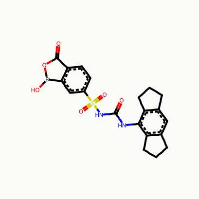 O=C(Nc1c2c(cc3c1CCC3)CCC2)NS(=O)(=O)c1ccc2c(c1)B(O)OC2=O